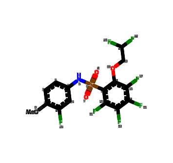 COc1ccc(NS(=O)(=O)c2c(F)c(F)c(F)c(F)c2OCC(F)F)cc1F